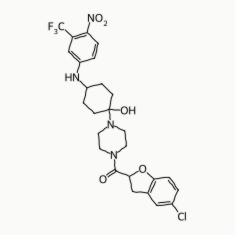 O=C(C1Cc2cc(Cl)ccc2O1)N1CCN(C2(O)CCC(Nc3ccc([N+](=O)[O-])c(C(F)(F)F)c3)CC2)CC1